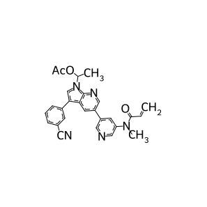 C=CC(=O)N(C)c1cncc(-c2cnc3c(c2)c(-c2cccc(C#N)c2)cn3C(C)OC(C)=O)c1